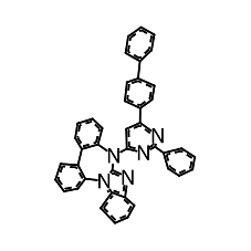 c1ccc(-c2ccc(-c3cc(N4c5ccccc5-c5ccccc5-n5c4nc4ccccc45)nc(-c4ccccc4)n3)cc2)cc1